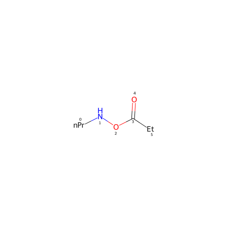 CCCNOC(=O)CC